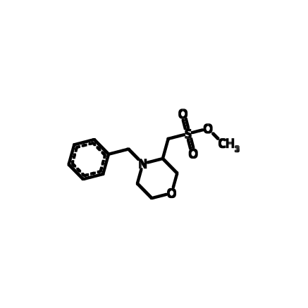 COS(=O)(=O)CC1COCCN1Cc1ccccc1